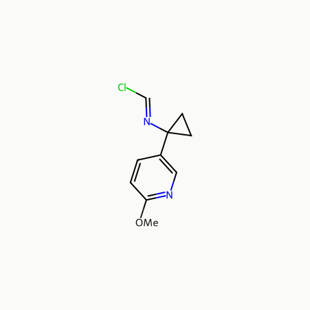 COc1ccc(C2(/N=C/Cl)CC2)cn1